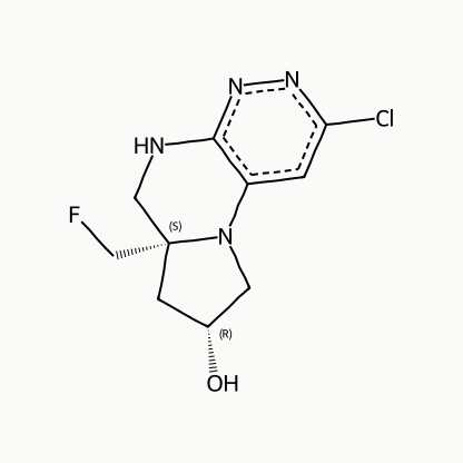 O[C@H]1CN2c3cc(Cl)nnc3NC[C@]2(CF)C1